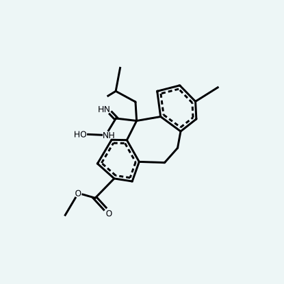 COC(=O)c1ccc2c(c1)CCc1cc(C)ccc1C2(CC(C)C)C(=N)NO